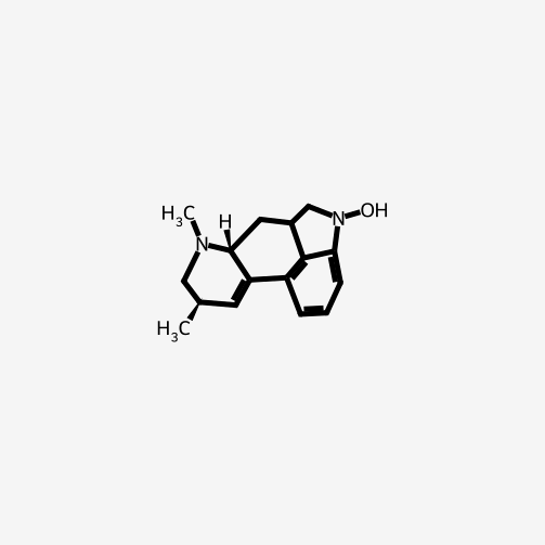 C[C@@H]1C=C2c3cccc4c3C(C[C@H]2N(C)C1)CN4O